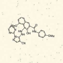 COc1ccc(NC(=O)c2cc3cccc(OC)c3c(NNc3c(C#N)cnn3-c3ncccn3)c2O)cc1